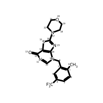 Cc1ccc(C(F)(F)F)cc1Cn1cnc(=O)c2sc(N3CCOCC3)nc21